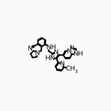 Cc1cccc(-c2[nH]c(CNc3cccc(C#N)c3CN3CCCC3)nc2C2=CN3N=CNC3C=C2)n1